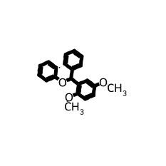 COc1ccc(OC)c(C(Oc2[c]cccc2)c2ccccc2)c1